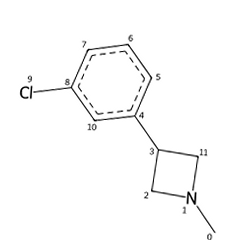 CN1CC(c2cccc(Cl)c2)C1